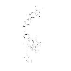 CCn1cc(C(=O)O)c(=O)c2cc(F)c(N3CCN(C(=O)OCc4ccc(NC(=O)C(CCCNC(N)=O)NC(=O)C5(C(=O)NC(C)c6ccsc6)CCC5)cc4)CC3)cc21